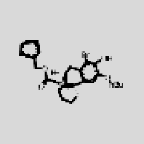 CCCCOc1cc2c(c(Br)c1O)C[C@H]1C3CCCC[C@@]23CCN1C(=O)OCc1ccccc1